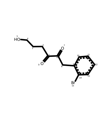 O=C(CCCO)C(=O)Cc1ccccc1Br